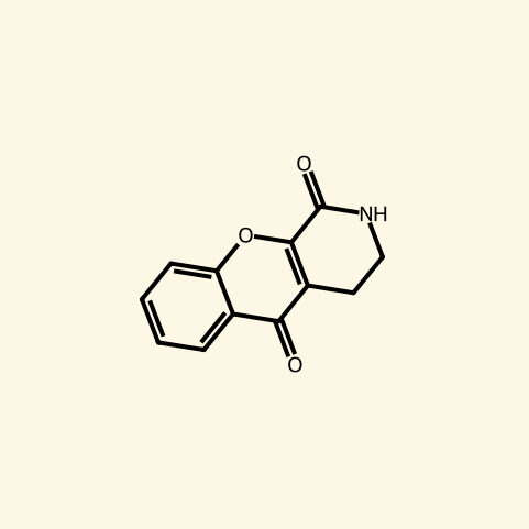 O=C1NCCc2c1oc1ccccc1c2=O